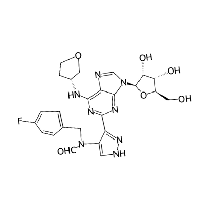 O=CN(Cc1ccc(F)cc1)c1c[nH]nc1-c1nc(N[C@@H]2CCOC2)c2ncn([C@@H]3O[C@H](CO)[C@@H](O)[C@H]3O)c2n1